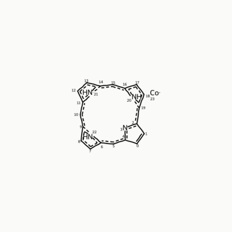 C1=Cc2nc1cc1ccc(cc3ccc(cc4ccc2[nH]4)[nH]3)[nH]1.[Co]